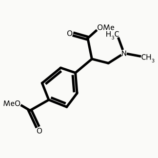 COC(=O)c1ccc(C(CN(C)C)C(=O)OC)cc1